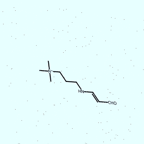 C[N+](C)(C)CCCNC=CC=O